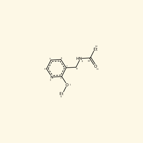 CCOc1ncccc1CNC(=O)CC